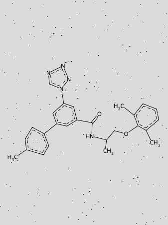 Cc1ccc(-c2cc(C(=O)NC(C)COc3c(C)cccc3C)cc(-n3cnnn3)c2)cc1